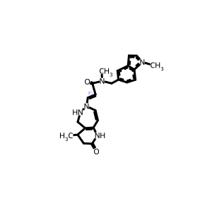 CC1CC(=O)NC2=C1CNN(/C=C/C(=O)N(C)Cc1ccc3c(ccn3C)c1)C=C2